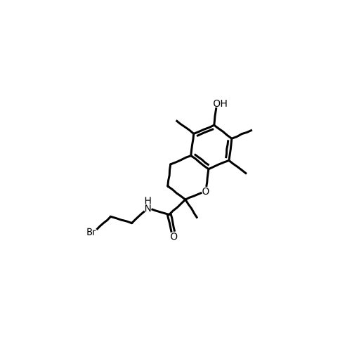 Cc1c(C)c2c(c(C)c1O)CCC(C)(C(=O)NCCBr)O2